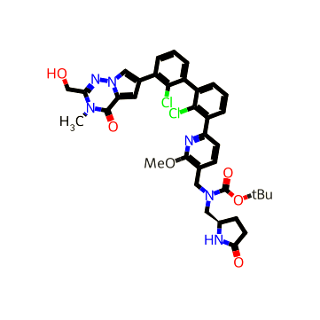 COc1nc(-c2cccc(-c3cccc(-c4cc5c(=O)n(C)c(CO)nn5c4)c3Cl)c2Cl)ccc1CN(C[C@H]1CCC(=O)N1)C(=O)OC(C)(C)C